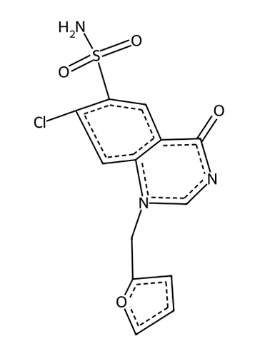 NS(=O)(=O)c1cc2c(=O)ncn(Cc3ccco3)c2cc1Cl